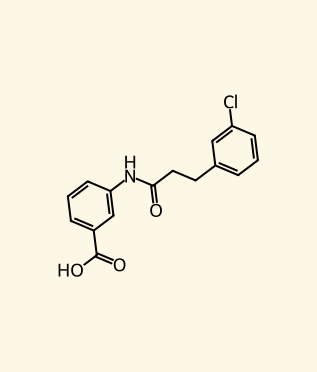 O=C(CCc1cccc(Cl)c1)Nc1cccc(C(=O)O)c1